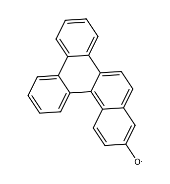 [O]c1ccc2c(ccc3c4ccccc4c4ccccc4c23)c1